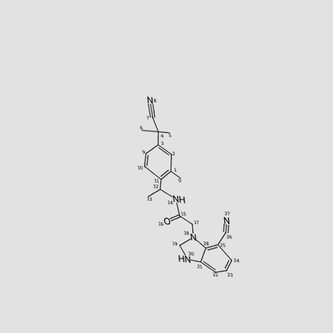 Cc1cc(C(C)(C)C#N)ccc1C(C)NC(=O)CN1CNc2cccc(C#N)c21